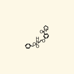 O=C(NCCOc1cccc(C(=O)N2CCCC2)c1)OCc1ccccc1